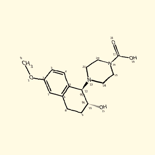 COc1ccc2c(c1)CC[C@@H](O)[C@@H]2N1CCN(C(=O)O)CC1